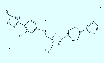 Cc1nc(C2CCN(c3ccccc3)CC2)sc1COc1ccc(-c2noc(=O)[nH]2)c(Cl)c1